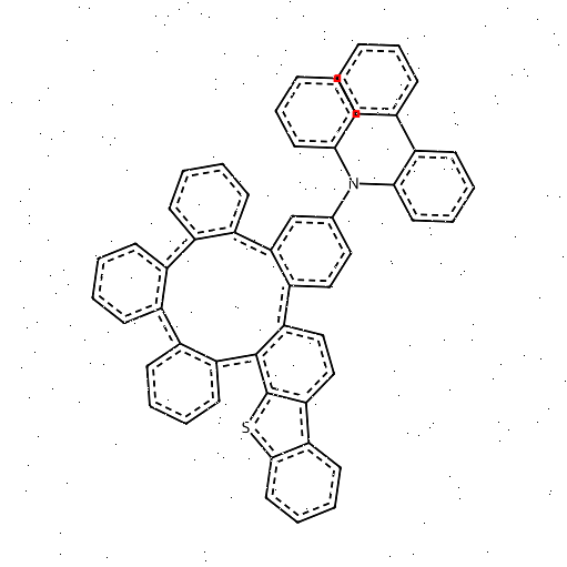 c1ccc(-c2ccccc2N(c2ccccc2)c2ccc3c(c2)c2ccccc2c2ccccc2c2ccccc2c2c3ccc3c4ccccc4sc32)cc1